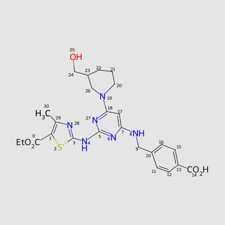 CCOC(=O)c1sc(Nc2nc(NCc3ccc(C(=O)O)cc3)cc(N3CCCC(CO)C3)n2)nc1C